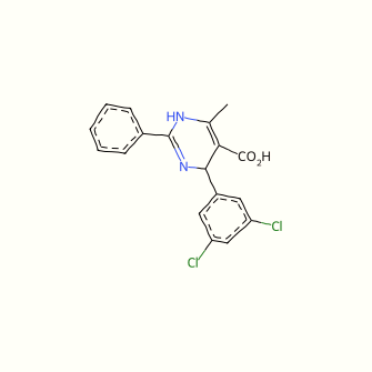 CC1=C(C(=O)O)C(c2cc(Cl)cc(Cl)c2)N=C(c2ccccc2)N1